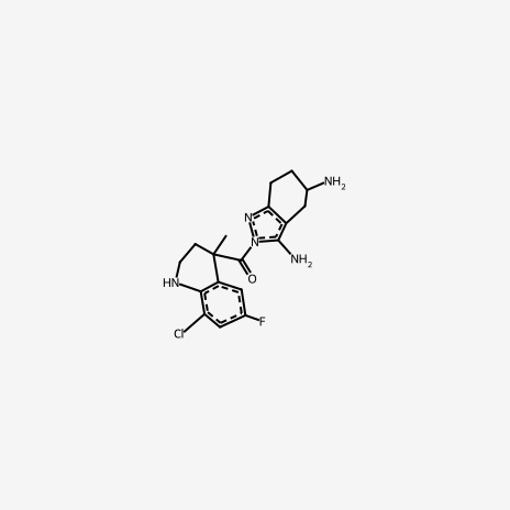 CC1(C(=O)n2nc3c(c2N)CC(N)CC3)CCNc2c(Cl)cc(F)cc21